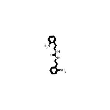 Nc1ccccc1CCNC(=O)NCCc1ccccc1N